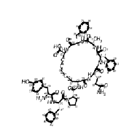 C[C@@H]1NC(=O)[C@H](Cc2ccccc2)NC(=O)[C@H](CCC(N)=O)NC(=O)[C@H](NC(=O)[C@@H]2CCCN2C(=O)[C@H](Cc2ccccc2)NC(=O)[C@@H](N)Cc2ccc(O)cc2)CSCSCC[C@@H](C(=O)O)NC(=O)[C@H](Cc2ccccc2)NC1=O